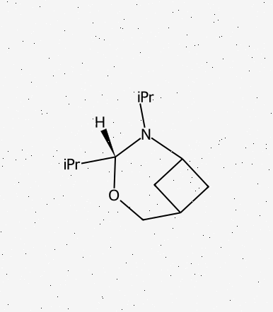 CC(C)[C@H]1OCC2CC(C2)N1C(C)C